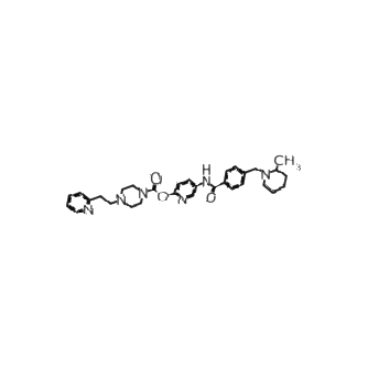 CC1CCCCN1Cc1ccc(C(=O)Nc2ccc(OC(=O)N3CCN(CCc4ccccn4)CC3)nc2)cc1